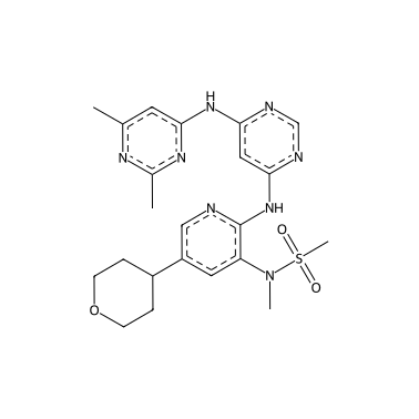 Cc1cc(Nc2cc(Nc3ncc(C4CCOCC4)cc3N(C)S(C)(=O)=O)ncn2)nc(C)n1